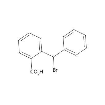 O=C(O)c1ccccc1C(Br)c1ccccc1